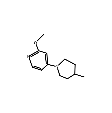 COc1cc(N2CCC(C)CC2)ccn1